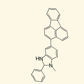 CN1c2ccc(-c3ccc4c5c(cccc35)-c3ccccc3-4)cc2NC1c1ccccc1